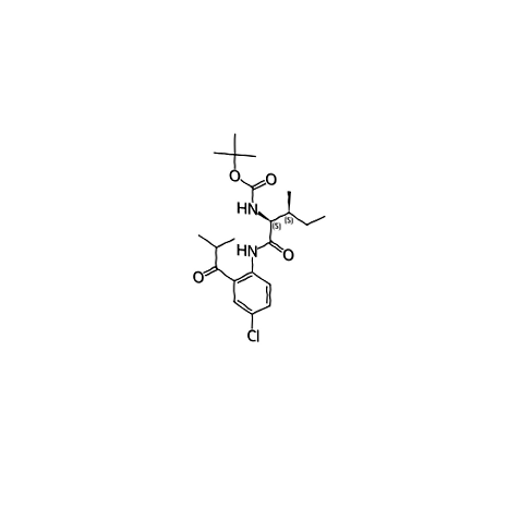 CC[C@H](C)[C@H](NC(=O)OC(C)(C)C)C(=O)Nc1ccc(Cl)cc1C(=O)C(C)C